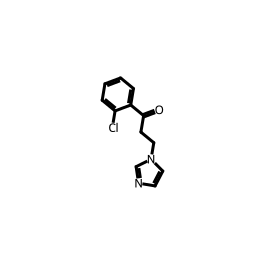 O=C(CCn1ccnc1)c1ccccc1Cl